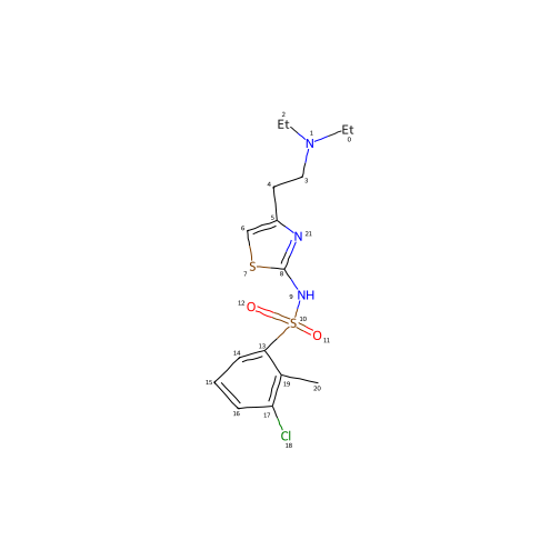 CCN(CC)CCc1csc(NS(=O)(=O)c2cccc(Cl)c2C)n1